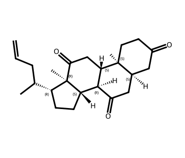 C=CCC(C)[C@H]1CC[C@H]2[C@@H]3C(=O)C[C@@H]4CC(=O)CC[C@]4(C)[C@H]3CC(=O)[C@]12C